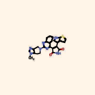 Cn1cnc2c1CCN(c1nc(C3=C(c4c[nH]c5sccc45)C(=O)NC3=O)c3ccccc3n1)C2